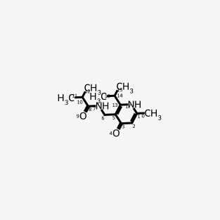 Cc1cc(=O)c(CNC(=O)C(C)C)c(C(C)C)[nH]1